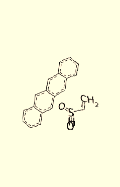 C=C[SH](=O)=O.c1ccc2cc3cc4ccccc4cc3cc2c1